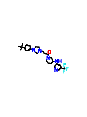 CC(C)(C)c1ccc(N2CCN(CCC(=O)N3CCCC(Nc4cncc(C(F)(F)F)c4)C3)CC2)cc1